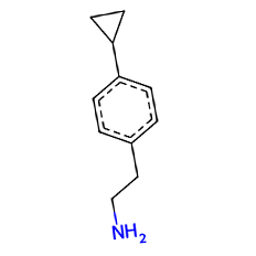 NCCc1ccc(C2CC2)cc1